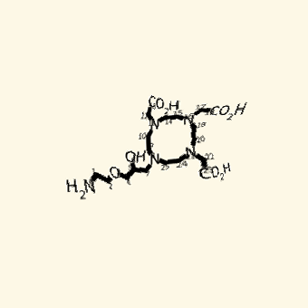 NCCOCC(O)CN1CCN(CC(=O)O)CCN(CC(=O)O)CCN(CC(=O)O)CC1